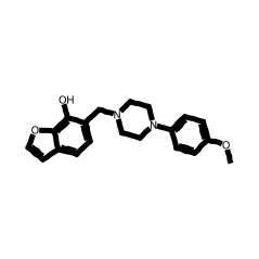 COc1ccc(N2CCN(Cc3ccc4ccoc4c3O)CC2)cc1